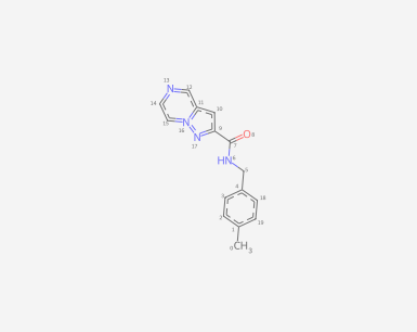 Cc1ccc(CNC(=O)c2cc3cnccn3n2)cc1